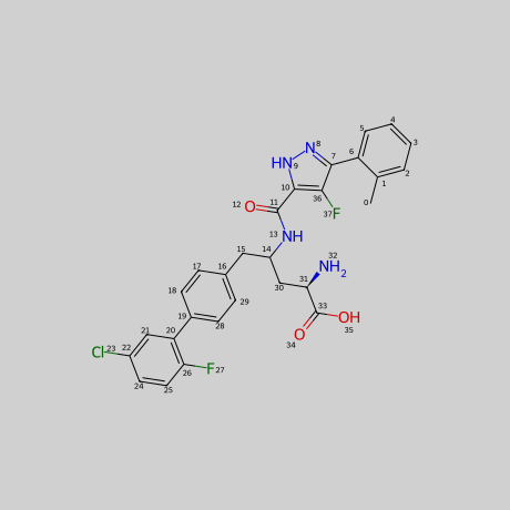 Cc1ccccc1-c1n[nH]c(C(=O)NC(Cc2ccc(-c3cc(Cl)ccc3F)cc2)C[C@@H](N)C(=O)O)c1F